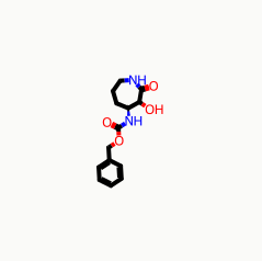 O=C(N[C@H]1CCCNC(=O)C1O)OCc1ccccc1